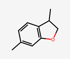 Cc1ccc2c(c1)OCC2C